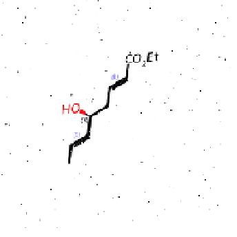 C/C=C/[C@@H](O)C/C=C/C(=O)OCC